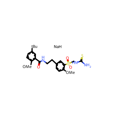 COc1ccc(C(C)(C)C)cc1C(=O)NCCc1ccc(OC)c(S(=O)(=O)CNC(N)=S)c1.[NaH]